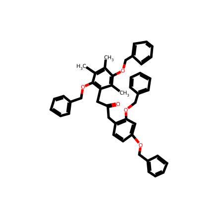 Cc1c(C)c(OCc2ccccc2)c(CC(=O)Cc2ccc(OCc3ccccc3)cc2OCc2ccccc2)c(C)c1OCc1ccccc1